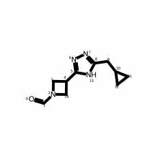 O=CN1CC(c2nnc(CC3CC3)[nH]2)C1